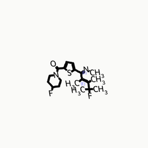 C/N=C(\C(C)=C(/C)C(C)(C)F)c1ccc(C(=O)N2CCC(F)CC2)s1